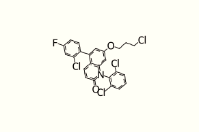 O=c1ccc2c(-c3ccc(F)cc3Cl)cc(OCCCCl)cc2n1-c1c(Cl)cccc1Cl